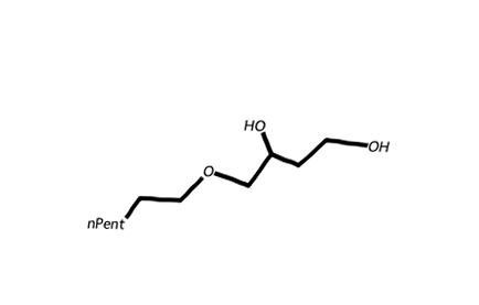 CCCCCCCOCC(O)CCO